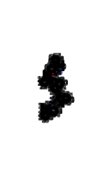 CN1/C(=C/C=C/C2=[N+](C)c3ccccc3C2(C)Cc2cccc3c(CC4(C)C(/C=C/C=C5/N(C)c6ccccc6C56CCCCC6)=[N+](C)c5ccccc54)cccc23)C2(CCCCC2)c2ccccc21